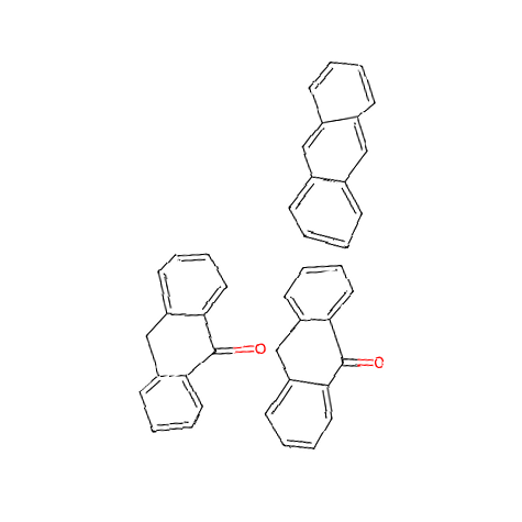 O=C1c2ccccc2Cc2ccccc21.O=C1c2ccccc2Cc2ccccc21.c1ccc2cc3ccccc3cc2c1